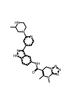 CC1=C(C(=O)Nc2ccc3[nH]nc(-c4ccnc(N5CCNC(C)C5)c4)c3c2)Cn2nnnc2N1C